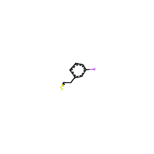 S=CCc1cccc(I)c1